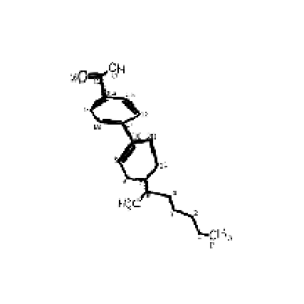 CCCCCC(C)C1CC=C(c2ccc(C(=O)O)cc2)CC1